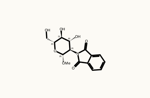 CO[C@@H]1O[C@H](CO)[C@@H](O)[C@H](O)[C@H]1N1C(=O)c2ccccc2C1=O